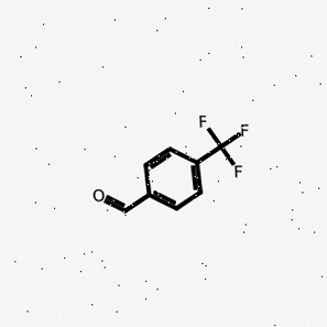 O=[C]c1ccc(C(F)(F)F)cc1